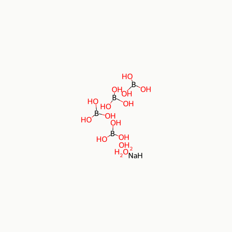 O.O.OB(O)O.OB(O)O.OB(O)O.OB(O)O.[NaH]